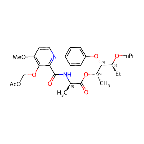 CCCO[C@@H](CC)[C@@H](Oc1ccccc1)[C@H](C)OC(=O)[C@@H](C)NC(=O)c1nccc(OC)c1OCOC(C)=O